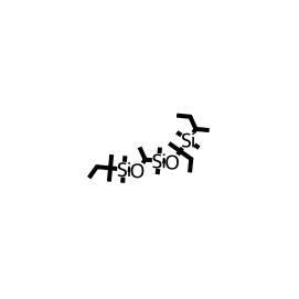 CCC(C)[Si](C)(C)C(C)(CC)O[Si](C)(C)C(C)O[Si](C)(C)C(C)(C)CC